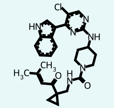 CC(C)=CC(=O)C1(CNC(=O)N2CCC(Nc3ncc(Cl)c(-c4c[nH]c5ccccc45)n3)CC2)CC1